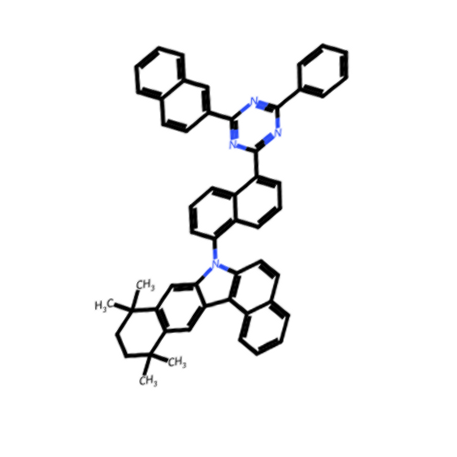 CC1(C)CCC(C)(C)c2cc3c(cc21)c1c2ccccc2ccc1n3-c1cccc2c(-c3nc(-c4ccccc4)nc(-c4ccc5ccccc5c4)n3)cccc12